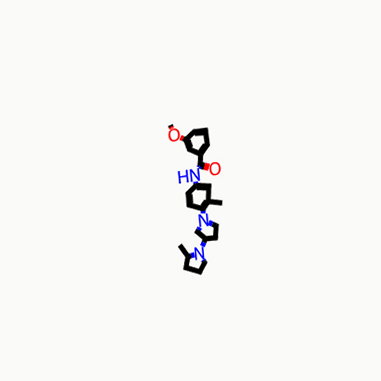 COc1cccc(C(=O)Nc2ccc(N3CCC(N4CCCC4C)C3)c(C)c2)c1